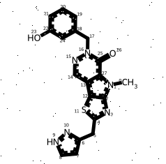 Cn1c2nc(Cc3cc[nH]n3)sc2c2cnn(Cc3cccc(O)c3)c(=O)c21